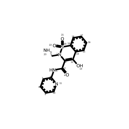 CN1C(C(=O)Nc2ccccn2)=C(O)c2ccccc2S1(=O)=O.N